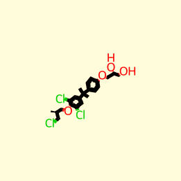 C[C@H](CCl)COc1c(Cl)cc(C(C)(C)c2ccc(OC[C@H](O)CO)cc2)cc1Cl